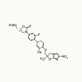 CC(=O)NC[C@H]1CN(c2ccc(C3C=C(C#N)C(OCC4(C)Cn5cc([N+](=O)[O-])nc5O4)=CC3)c(F)c2)C(=O)O1